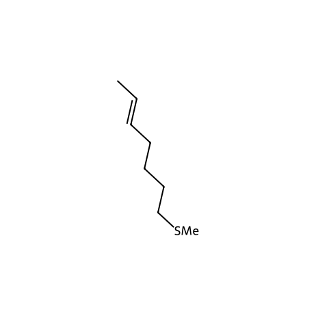 CC=CCCCCSC